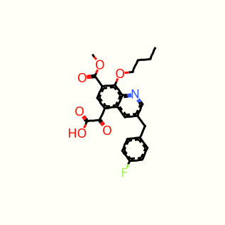 CCCCOc1c(C(=O)OC)cc(C(=O)C(=O)O)c2cc(Cc3ccc(F)cc3)cnc12